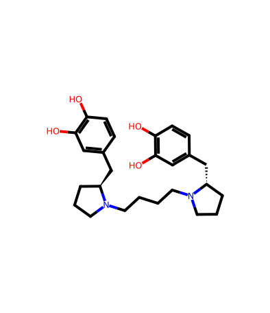 Oc1ccc(C[C@@H]2CCCN2CCCCN2CCC[C@H]2Cc2ccc(O)c(O)c2)cc1O